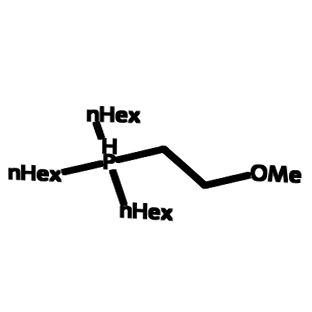 CCCCCC[PH](CCCCCC)(CCCCCC)CCOC